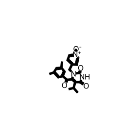 Cc1cc(C)cc(C(=O)c2c(C(C)C)c(=O)[nH]c(=O)n2Cc2cc[n+]([O-])cc2)c1